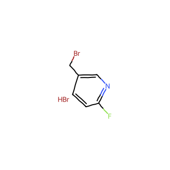 Br.Fc1ccc(CBr)cn1